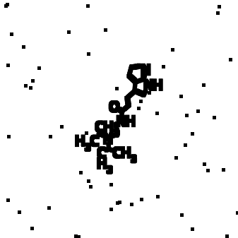 CC(C)N(CCNC(=O)C=Cc1c[nH]c2ncccc12)C(C)C